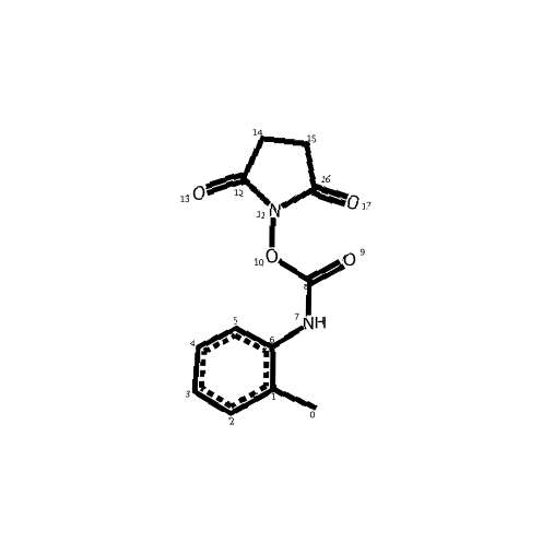 Cc1ccccc1NC(=O)ON1C(=O)CCC1=O